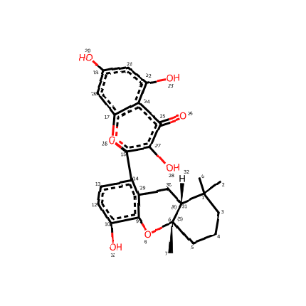 CC1(C)CCC[C@]2(C)Oc3c(O)ccc(-c4oc5cc(O)cc(O)c5c(=O)c4O)c3C[C@H]12